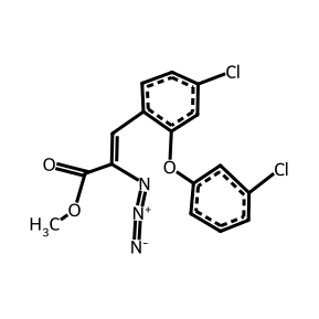 COC(=O)/C(=C/c1ccc(Cl)cc1Oc1cccc(Cl)c1)N=[N+]=[N-]